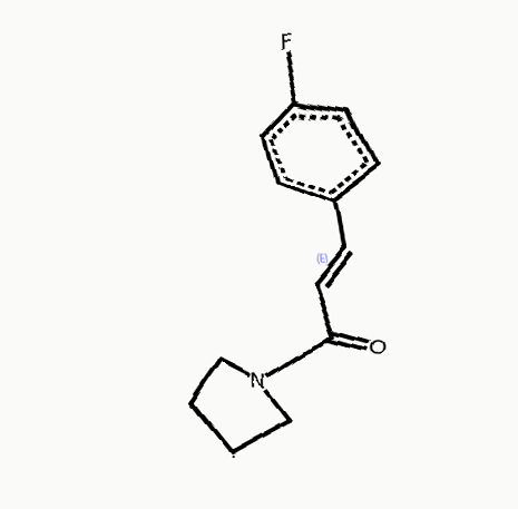 O=C(/C=C/c1ccc(F)cc1)N1C[CH]CC1